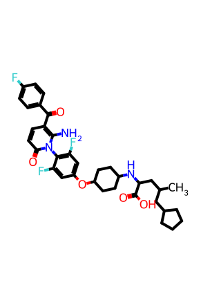 CC(CC1CCCC1)CC(NC1CCC(Oc2cc(F)c(-n3c(N)c(C(=O)c4ccc(F)cc4)ccc3=O)c(F)c2)CC1)C(=O)O